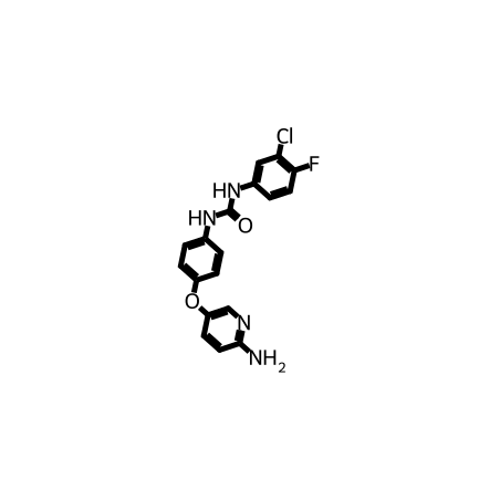 Nc1ccc(Oc2ccc(NC(=O)Nc3ccc(F)c(Cl)c3)cc2)cn1